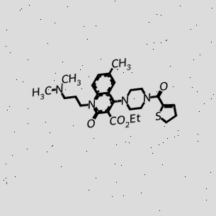 CCOC(=O)c1c(N2CCN(C(=O)C3=CCCS3)CC2)c2cc(C)ccc2n(CCCN(C)C)c1=O